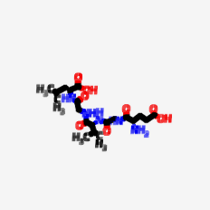 CC(C)C[C@H](NC(=O)CNC(=O)[C@@H](NC(=O)CNC(=O)[C@@H](N)CCC(=O)O)C(C)C)C(=O)O